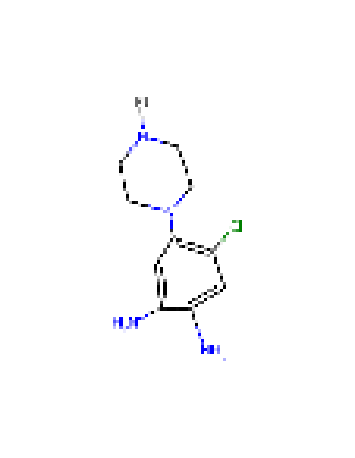 CCN1CCN(c2cc(N)c(N)cc2Cl)CC1